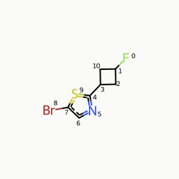 FC1CC(c2ncc(Br)s2)C1